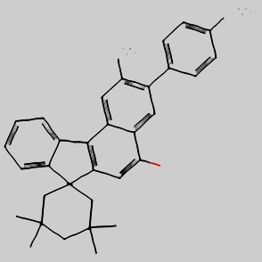 COc1ccc(-c2cc3c(O)cc4c(c3cc2SC)-c2ccccc2C42CC(C)(C)CC(C)(C)C2)cc1